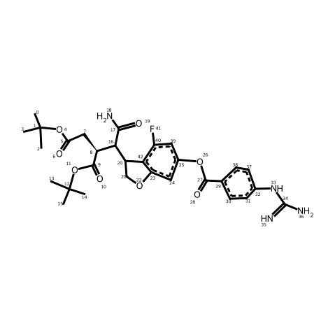 CC(C)(C)OC(=O)C[C@H](C(=O)OC(C)(C)C)C(C(N)=O)C1COc2cc(OC(=O)c3ccc(NC(=N)N)cc3)cc(F)c21